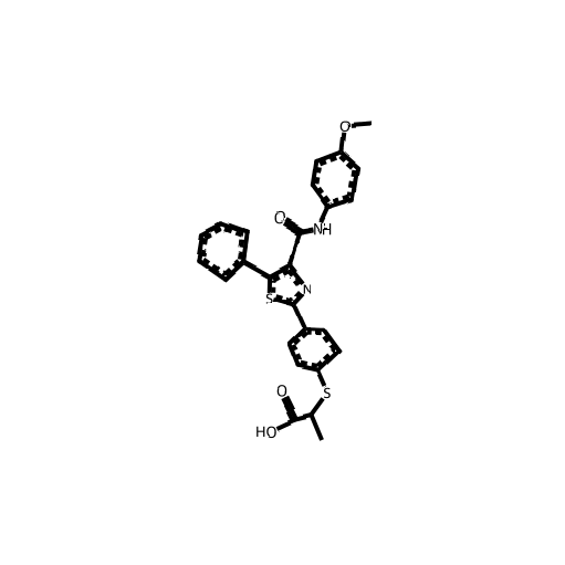 COc1ccc(NC(=O)c2nc(-c3ccc(SC(C)C(=O)O)cc3)sc2-c2ccccc2)cc1